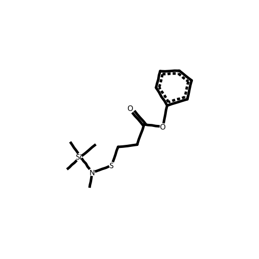 CN(SCCC(=O)Oc1ccccc1)[Si](C)(C)C